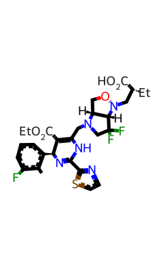 CCOC(=O)C1=C(CN2CC(F)(F)[C@@H]3[C@H]2CON3C[C@@H](CC)C(=O)O)NC(c2nccs2)=N[C@H]1c1cccc(F)c1C